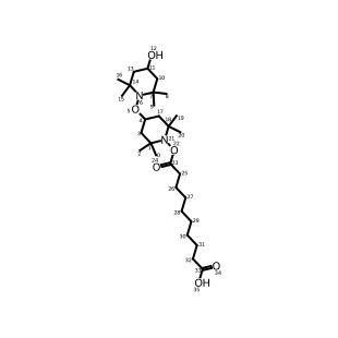 CC1(C)CC(ON2C(C)(C)CC(O)CC2(C)C)CC(C)(C)N1OC(=O)CCCCCCCCC(=O)O